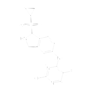 O=S(=O)(C1CC1)C1NCc2cc(Nc3nc(Cl)ncc3F)ccc21